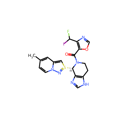 CC1=CC2=CS([C@H]3c4nc[nH]c4CCN3C(=O)c3ocnc3C(F)I)=NN2C=C1